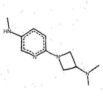 CNc1ccc(N2CC(N(C)C)C2)nc1